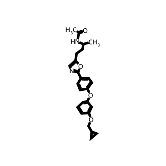 CC(=O)NC(C)CCc1cnc(-c2ccc(Oc3cccc(OCC4CC4)c3)cc2)o1